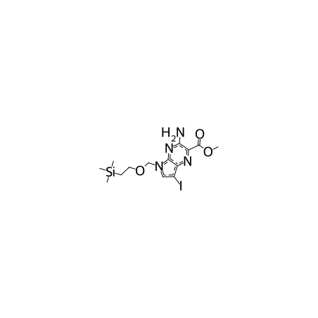 COC(=O)c1nc2c(I)cn(COCC[Si](C)(C)C)c2nc1N